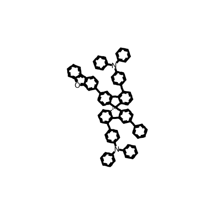 c1ccc(-c2ccc3c(c2)-c2c(-c4ccc(N(c5ccccc5)c5ccccc5)cc4)cccc2[C@@]32c3ccc(-c4ccc5c(c4)oc4ccccc45)cc3-c3c(-c4ccc(N(c5ccccc5)c5ccccc5)cc4)cccc32)cc1